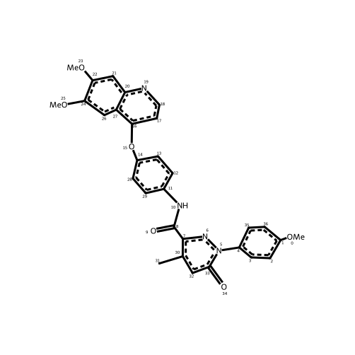 COc1ccc(-n2nc(C(=O)Nc3ccc(Oc4ccnc5cc(OC)c(OC)cc45)cc3)c(C)cc2=O)cc1